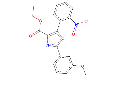 CCOC(=O)c1nc(-c2cccc(OC)c2)oc1-c1ccccc1[N+](=O)[O-]